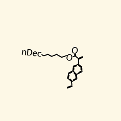 C=Cc1ccc2cc(C(=C)C(=O)OCCCCCCCCCCCCCCCC)ccc2c1